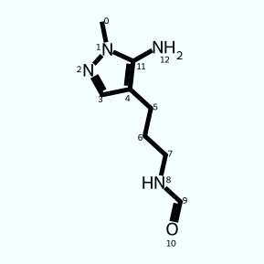 Cn1ncc(CCCNC=O)c1N